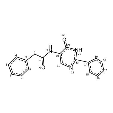 O=C(Cc1ccccc1)Nc1cnc(-c2ccccc2)[nH]c1=O